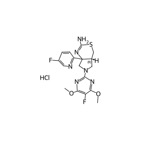 COc1nc(N2C[C@H]3CSC(N)=NC3(c3ccc(F)cn3)C2)nc(OC)c1F.Cl